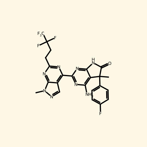 Cn1ncc2c(-c3nc(N)c4c(n3)NC(=O)C4(C)c3ccc(F)cc3)nc(CCC(F)(F)C(F)(F)F)nc21